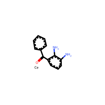 Nc1cccc(C(=O)c2ccccc2)c1N.[Ce]